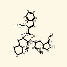 Cn1c(C(=O)NC(CC2CCCCC2)C(=C=O)NC(C=C=O)C[C@@H]2CCNC2=C=O)cc2ccccc21